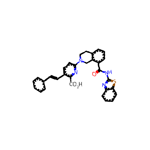 O=C(Nc1nc2ccccc2s1)c1cccc2c1CN(c1ccc(C=Cc3ccccc3)c(C(=O)O)n1)CC2